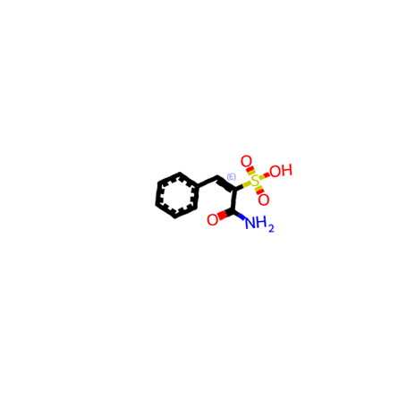 NC(=O)/C(=C\c1ccccc1)S(=O)(=O)O